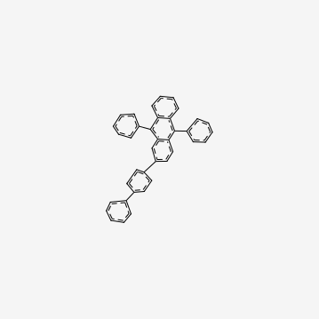 c1ccc(-c2ccc(-c3ccc4c(-c5ccccc5)c5ccccc5c(-c5ccccc5)c4c3)cc2)cc1